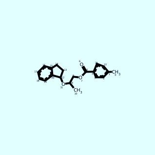 Cc1ccc(C(=O)OCC(C)OC2CCc3ccccc32)cc1